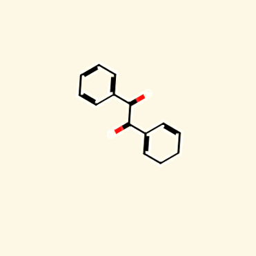 O=C(C(=O)c1ccccc1)C1=CCCC=C1